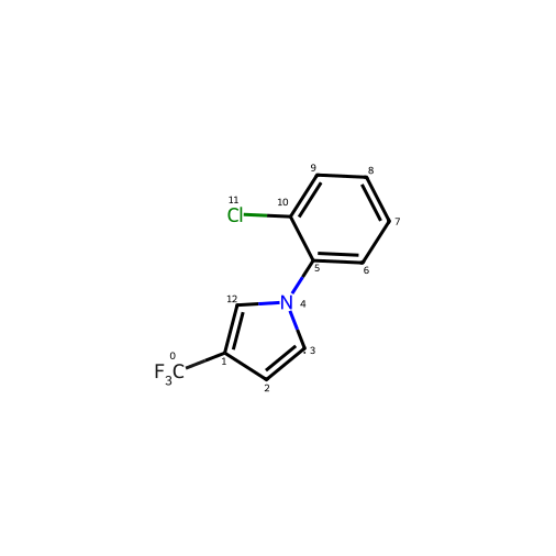 FC(F)(F)c1c[c]n(-c2ccccc2Cl)c1